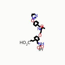 Cc1oc(-c2ccc(ON3C=NC=CC3)cc2)nc1CCOc1ccc(CCC(=O)O)c(CNC(=O)OC(C)C)c1